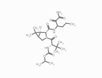 CCCC(NC(=O)[C@@H]1[C@H]2C(CN1C(=O)[C@@H](NC(=O)OC(C)C)C(C)(C)C)C2(C)C)C(=O)C(N)=O